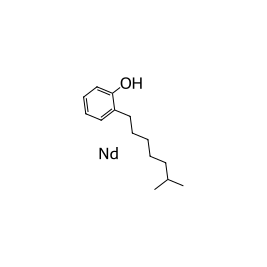 CC(C)CCCCCc1ccccc1O.[Nd]